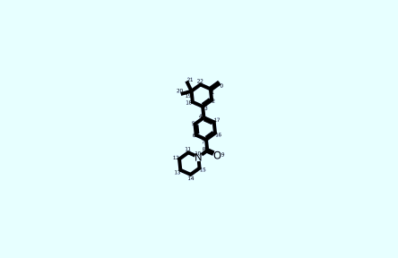 C=C1C=C(c2ccc(C(=O)N3CCCCC3)cc2)CC(C)(C)C1